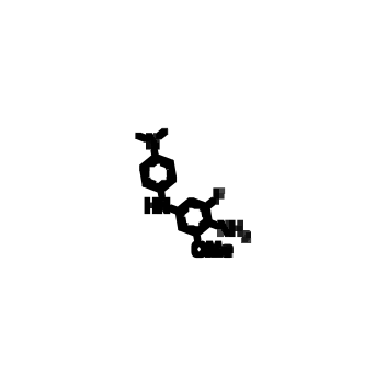 COc1cc(Nc2ccc(N(C)C)cc2)cc(F)c1N